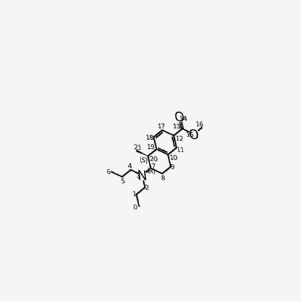 CCCN(CCC)[C@@H]1CCc2cc(C(=O)OC)ccc2[C@@H]1C